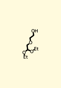 CCOC(COCCO)OCC